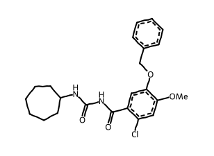 COc1cc(Cl)c(C(=O)NC(=O)NC2CCCCCC2)cc1OCc1ccccc1